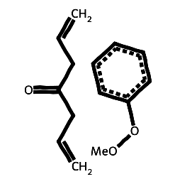 C=CCC(=O)CC=C.COOc1ccccc1